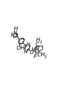 C[C@@]12CC[C@@](C)(N1)[C@@H](F)[C@@H](Oc1cnc(-c3ccc(-c4cn[nH]c4)cc3O)cn1)C2